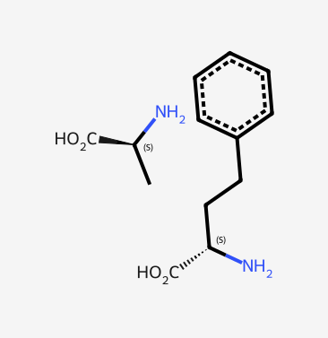 C[C@H](N)C(=O)O.N[C@@H](CCc1ccccc1)C(=O)O